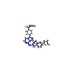 CNC(=O)C1CCC(c2nc(-c3ccc4ccc(-c5cccs5)nc4c3)c3c(N)nccn23)CC1